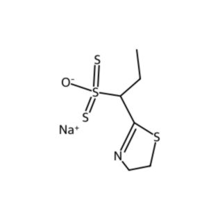 CCC(C1=NCCS1)S([O-])(=S)=S.[Na+]